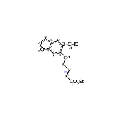 CCOC(=O)/C=C/COc1cc2occc2cc1C=O